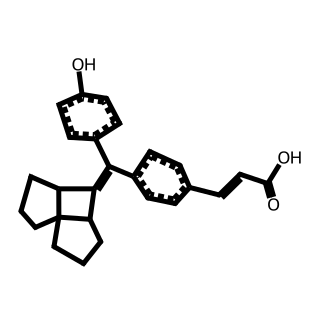 O=C(O)/C=C/c1ccc(C(=C2C3CCCC34CCCC24)c2ccc(O)cc2)cc1